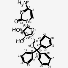 Nc1ccn([C@@H]2O[C@H](COC(c3ccccc3)(c3ccccc3)c3ccccc3)[C@@H](O)[C@@H]2O)c(=O)n1